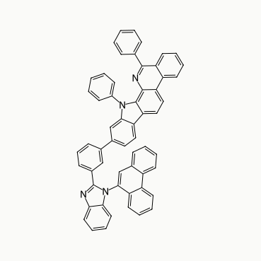 c1ccc(-c2nc3c(ccc4c5ccc(-c6cccc(-c7nc8ccccc8n7-c7cc8ccccc8c8ccccc78)c6)cc5n(-c5ccccc5)c43)c3ccccc23)cc1